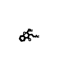 CCC(C)C1Oc2ccccc2C(=O)C1CCC(C)=O